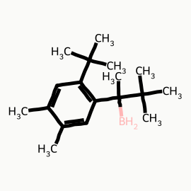 BC(C)(c1cc(C)c(C)cc1C(C)(C)C)C(C)(C)C